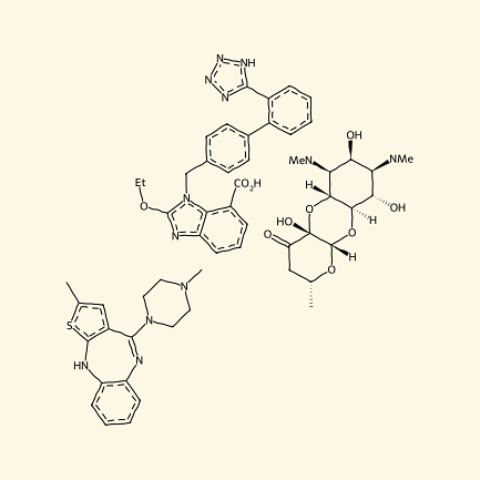 CCOc1nc2cccc(C(=O)O)c2n1Cc1ccc(-c2ccccc2-c2nnn[nH]2)cc1.CN[C@@H]1[C@H](O)[C@H](NC)[C@H]2O[C@@]3(O)C(=O)C[C@@H](C)O[C@H]3O[C@@H]2[C@H]1O.Cc1cc2c(s1)Nc1ccccc1N=C2N1CCN(C)CC1